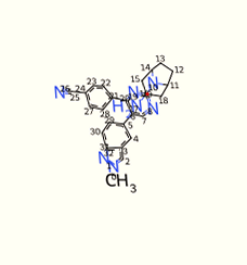 Cn1cc2cc(-c3cnc(N4C5CCC4CC(N)C5)nc3-c3ccc(C#N)cc3)ccc2n1